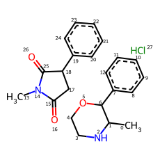 CC1NCCOC1c1ccccc1.CN1C(=O)CC(c2ccccc2)C1=O.Cl